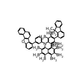 Bc1c(B)c(N(c2cccc(-c3cccc4oc5c6ccccc6ccc5c34)c2)c2c(B)c(B)c(B)c3c(B)c(B)c(B)c(B)c23)c(B)c(B)c1-c1cccc2c1C(C)(C)c1ccccc1-2